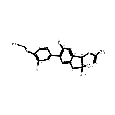 CCOc1ccc(-c2cc3c(cc2F)C(OC(N)=O)C(C)(C)C3)cc1F